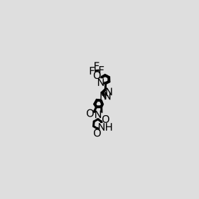 O=C1CCC(N2Cc3cc(-n4cc(-c5cccc(OC(F)(F)F)n5)nn4)ccc3C2=O)C(=O)N1